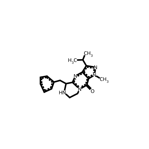 CC(C)c1nn(C)c2c(=O)n3c(nc12)C(Cc1ccccc1)NCC3